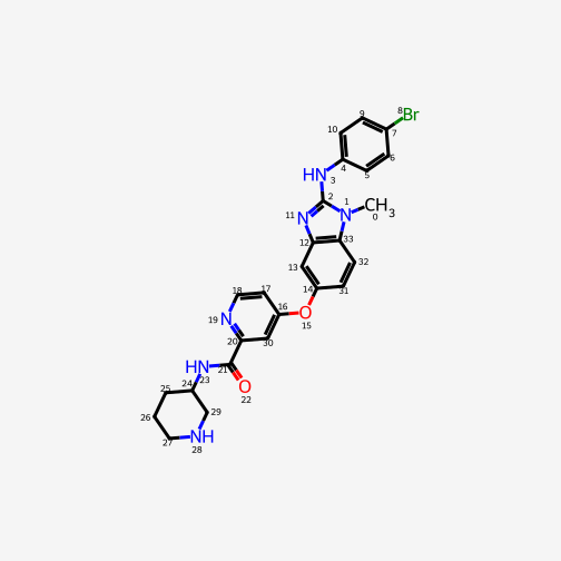 Cn1c(Nc2ccc(Br)cc2)nc2cc(Oc3ccnc(C(=O)NC4CCCNC4)c3)ccc21